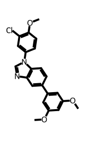 COc1cc(OC)cc(-c2ccc3c(c2)ncn3-c2ccc(OC)c(Cl)c2)c1